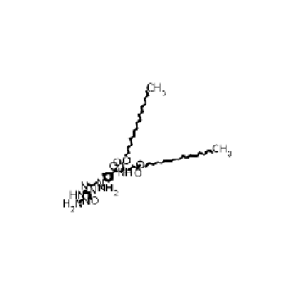 CCCCCCCCCCCCCCCCCCOC(=O)CC[C@H](NC(=O)c1ccc(N(N)Cc2cnc3[nH]c(N)nc(=O)c3n2)cc1)C(=O)OCCCCCCCCCCCCCCCCCC